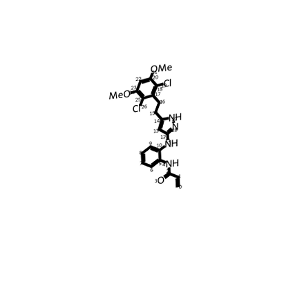 C=CC(=O)Nc1ccccc1Nc1cc(CCc2c(Cl)c(OC)cc(OC)c2Cl)[nH]n1